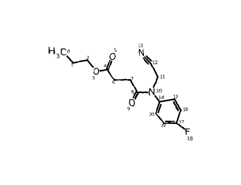 CCCOC(=O)CCC(=O)N(CC#N)c1ccc(F)cc1